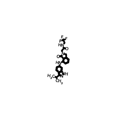 CC(C)c1n[nH]c2cc(Nc3cccc4c3C(=O)N(CC(=O)NCC(F)(F)F)C4)ccc12